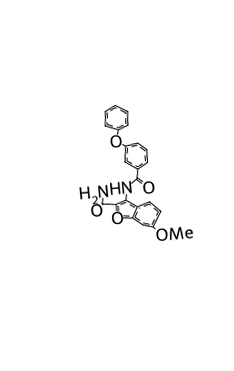 COc1ccc2c(NC(=O)c3cccc(Oc4ccccc4)c3)c(C(N)=O)oc2c1